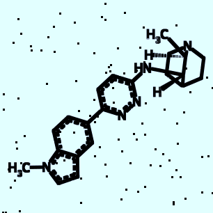 C[C@@H]1[C@@H](Nc2ccc(-c3ccc4c(ccn4C)c3)nn2)C2CCN1CC2